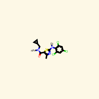 CCCN(CC1CC1)C(=O)c1sc(N(CC)c2c(Cl)cc(Cl)cc2Cl)nc1C